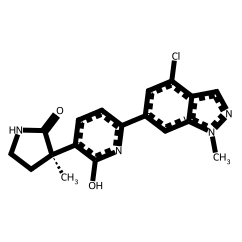 Cn1ncc2c(Cl)cc(-c3ccc([C@@]4(C)CCNC4=O)c(O)n3)cc21